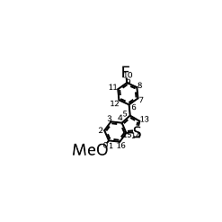 COc1ccc2c(-c3ccc(F)cc3)csc2c1